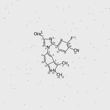 Cc1c2cc(-n3cc(C=O)nc3-c3ccc(C#N)c(F)c3)ccc2nn1C